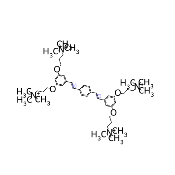 C[N+](C)(C)CCCOc1cc(/C=C/c2ccc(/C=C/c3cc(OCCC[N+](C)(C)C)cc(OCCC[N+](C)(C)C)c3)cc2)cc(OCCC[N+](C)(C)C)c1